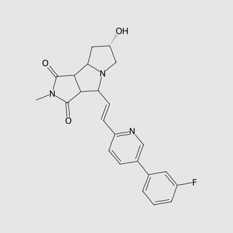 CN1C(=O)C2C(C1=O)C1C[C@H](O)CN1C2/C=C/c1ccc(-c2cccc(F)c2)cn1